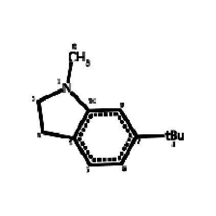 CN1CCc2ccc(C(C)(C)C)cc21